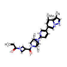 C=CC(=O)N1CC(C(=O)N2C[C@@H]3C[C@H]2CN3c2ccc(-c3cc(OC)c4c(C#N)cnn4c3)cn2)C1